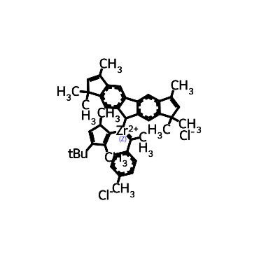 CC1=CC(C)(C)c2cc3c(cc21)-c1cc2c(cc1[CH]3/[Zr+2]([C]1=C(C)C(C(C)(C)C)=CC1C)=[C](\C)c1ccc(C)cc1)C(C)(C)C=C2C.[Cl-].[Cl-]